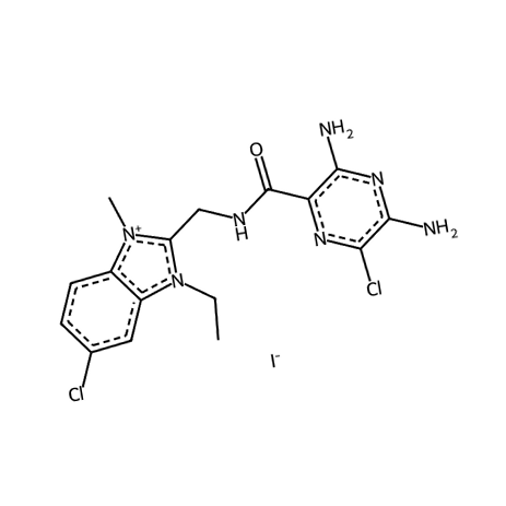 CCn1c(CNC(=O)c2nc(Cl)c(N)nc2N)[n+](C)c2ccc(Cl)cc21.[I-]